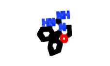 N=C1Nc2ccccc2C2(c3ccccc3)OCCN12